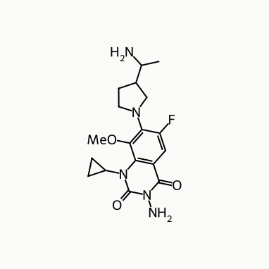 COc1c(N2CCC(C(C)N)C2)c(F)cc2c(=O)n(N)c(=O)n(C3CC3)c12